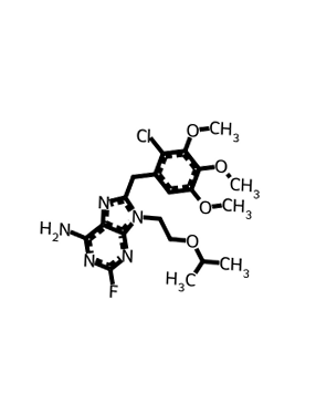 COc1cc(Cc2nc3c(N)nc(F)nc3n2CCOC(C)C)c(Cl)c(OC)c1OC